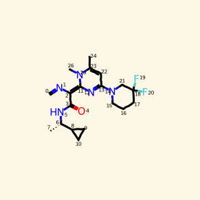 C=N/C(C(=O)N[C@@H](C)C1CC1)=C1/N=C(N2CCCC(F)(F)C2)C=C(C)N1C